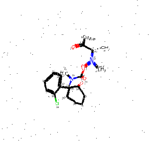 COC(=O)[C@H](C)N(C)OC(=O)N(C)[C@]1(c2ccccc2Cl)CCCCC1=O